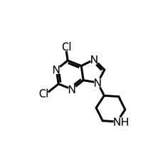 Clc1nc(Cl)c2ncn(C3CCNCC3)c2n1